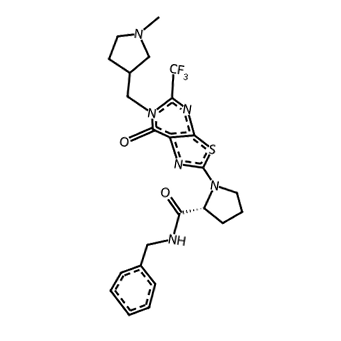 CN1CCC(Cn2c(C(F)(F)F)nc3sc(N4CCC[C@@H]4C(=O)NCc4ccccc4)nc3c2=O)C1